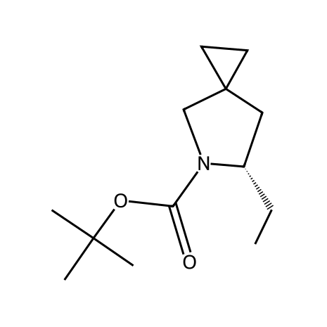 CC[C@H]1CC2(CC2)CN1C(=O)OC(C)(C)C